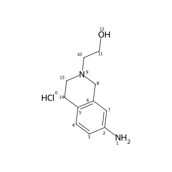 Cl.Nc1ccc2c(c1)CN(CCO)CC2